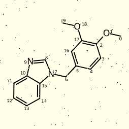 COc1ccc(Cn2cnc3ccccc32)cc1OC